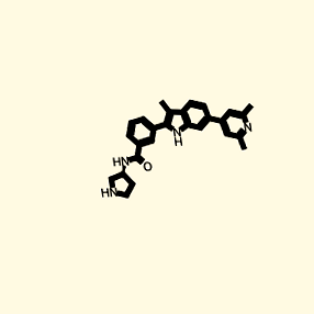 Cc1cc(-c2ccc3c(C)c(-c4cccc(C(=O)N[C@H]5CCNC5)c4)[nH]c3c2)cc(C)n1